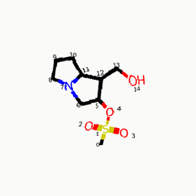 CS(=O)(=O)OC1CN2CCCC2C1CO